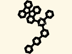 c1ccc(-c2ccc(-c3cccc(-c4nc(-c5ccccc5)nc(-c5cccc6c5-c5ccccc5C65c6ccccc6-c6ccccc65)n4)c3)cc2)cc1